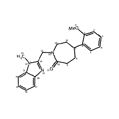 COc1ccccc1C1CCC(=O)N(Cc2nc3ccccc3n2C)CC1